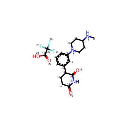 CNC1CCN(c2cccc(C3CCC(=O)NC3=O)c2)CC1.O=C(O)C(F)(F)F